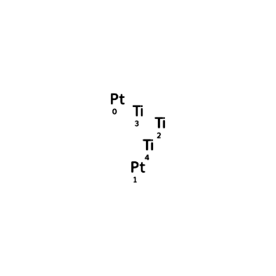 [Pt].[Pt].[Ti].[Ti].[Ti]